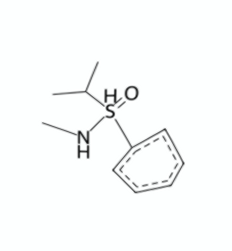 CN[SH](=O)(c1ccccc1)C(C)C